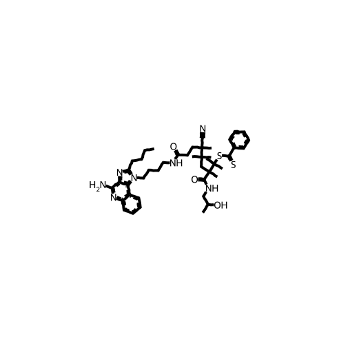 CCCCc1nc2c(N)nc3ccccc3c2n1CCCCNC(=O)CCC(C)(C#N)C(C)(C)CC(C)(C(=O)NCC(C)O)C(C)(C)SC(=S)c1ccccc1